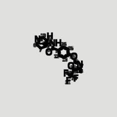 O=C(N[C@H]1CN2CCC1CC2)c1ccc(Oc2nnc(C(F)(F)F)o2)cc1